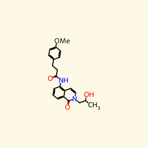 COc1ccc(CCC(=O)Nc2cccc3c(=O)n(CC(C)O)ccc23)cc1